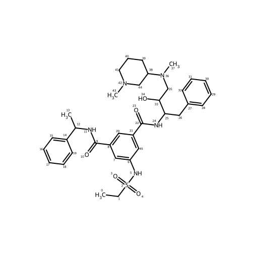 CCS(=O)(=O)Nc1cc(C(=O)NC(C)c2ccccc2)cc(C(=O)NC(Cc2ccccc2)C(O)CN(C)C2CCCN(C)C2)c1